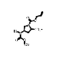 C=CCOC(=O)N1CC(N(CC)C(=O)OCCCC)CC1C(=O)O